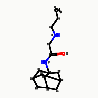 CCCNCC(=O)NC12CC3CC(CC(C3)C1)C2